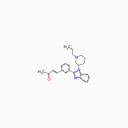 C=CCN1CCCC(n2c(-c3cccc(/C=C/C(C)=O)c3)nc3ccccc32)C1